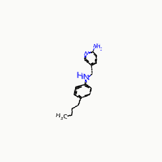 CCCCc1ccc(NCc2ccc(N)nc2)cc1